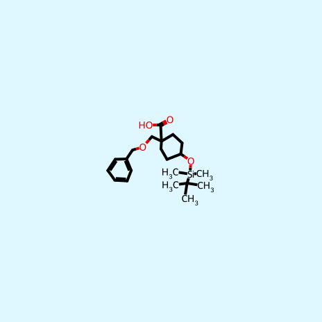 CC(C)(C)[Si](C)(C)OC1CCC(COCc2ccccc2)(C(=O)O)CC1